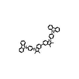 Cc1c(C)n(-c2ccc(-n3c4ccccc4c4ccccc43)cc2)c2ccc(-c3ccc4c(c3)c(C)c(C)n4-c3ccc(-n4c5ccccc5c5ccccc54)cc3)cc12